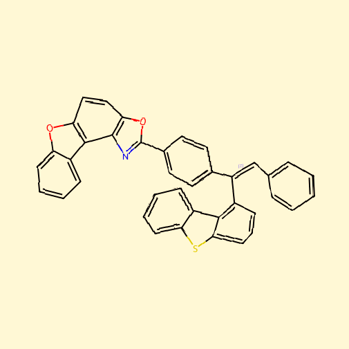 C(=C(\c1ccc(-c2nc3c(ccc4oc5ccccc5c43)o2)cc1)c1cccc2sc3ccccc3c12)/c1ccccc1